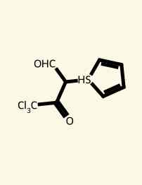 O=CC(C(=O)C(Cl)(Cl)Cl)[SH]1C=CC=C1